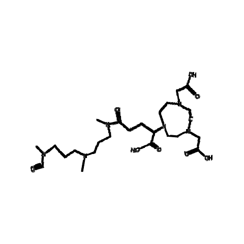 CN(C=O)CCCN(C)CCCN(C)C(=O)CCC(C(=O)O)N1CCN(CC(=O)O)CCN(CC(=O)O)CC1